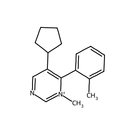 Cc1ccccc1-c1c(C2CCCC2)cnc[n+]1C